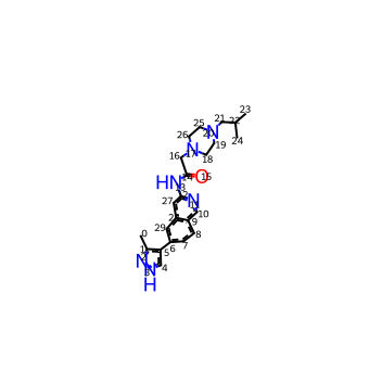 Cc1n[nH]cc1-c1ccc2cnc(NC(=O)CN3CCN(CC(C)C)CC3)cc2c1